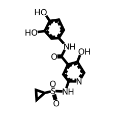 O=C(Nc1ccc(O)c(O)c1)c1cc(NS(=O)(=O)C2CC2)ncc1O